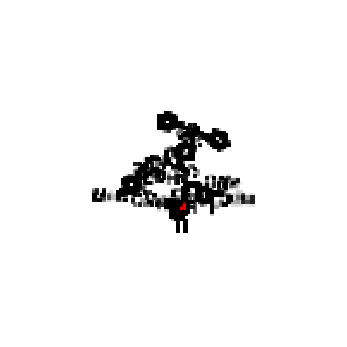 COc1ccc(S(=O)(=O)N2CCN(C(=O)NC(C(=O)NC(Cc3ccc(F)c(C(=O)OC(C)(C)C)c3OC)B3O[C@@H]4C[C@@H]5C[C@@H](C5(C)C)[C@]4(C)O3)c3ccc(P(=O)(OCc4ccccc4)OCc4ccccc4)cc3)C2=O)c(Cl)c1OC